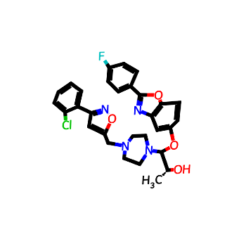 C[C@@H](O)C(Oc1ccc2oc(-c3ccc(F)cc3)nc2c1)N1CCN(Cc2cc(-c3ccccc3Cl)no2)CC1